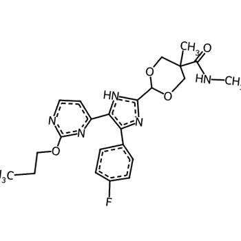 CCCOc1nccc(-c2[nH]c(C3OCC(C)(C(=O)NC)CO3)nc2-c2ccc(F)cc2)n1